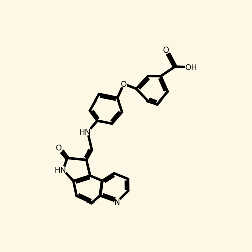 O=C1Nc2ccc3ncccc3c2C1=CNc1ccc(Oc2cccc(C(=O)O)c2)cc1